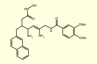 COc1ccc(C(=O)NC/C(N)=C/N(N)C(CC(=O)NO)Cc2ccc3ccccc3c2)cc1OC